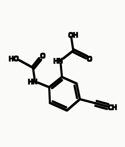 C#Cc1ccc(NC(=O)O)c(NC(=O)O)c1